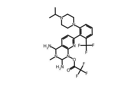 CC(C)N1CCN(c2cccc(C(F)(F)F)c2-c2ccc3c(n2)N(OC(=O)C(F)(F)F)C(N)N(C)C3N)CC1